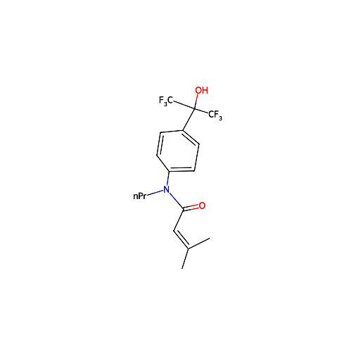 CCCN(C(=O)C=C(C)C)c1ccc(C(O)(C(F)(F)F)C(F)(F)F)cc1